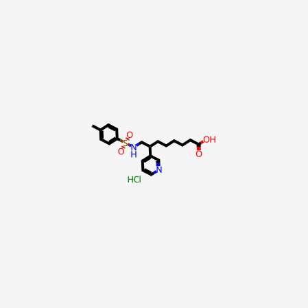 Cc1ccc(S(=O)(=O)NCC(CCCCCC(=O)O)c2cccnc2)cc1.Cl